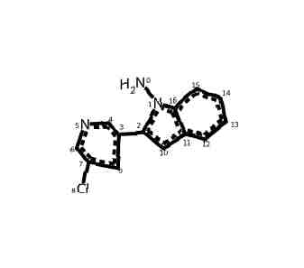 Nn1c(-c2cncc(Cl)c2)cc2ccccc21